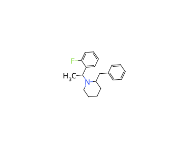 CC(c1ccccc1F)N1CCCCC1Cc1ccccc1